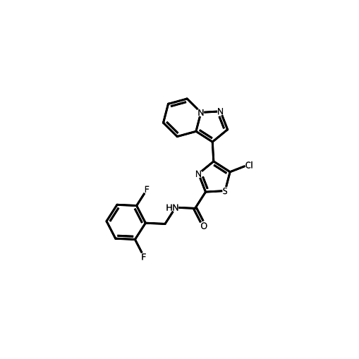 O=C(NCc1c(F)cccc1F)c1nc(-c2cnn3ccccc23)c(Cl)s1